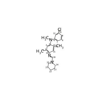 Cc1cc(N(C)c2cccc(Cl)c2)c(C)cc1N=CN1CCCCC1